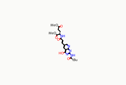 COC(=O)CC[C@@H](NC(=O)C=Cc1cnc2nc(NC(=O)C(C)(C)C)nc(O)c2c1)C(=O)OC